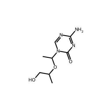 CC(CO)OC(C)n1cnc(N)nc1=O